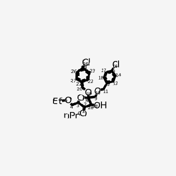 CCCOC1C(COCC)OC(COCc2ccc(Cl)cc2)(OCc2ccc(Cl)cc2)C1O